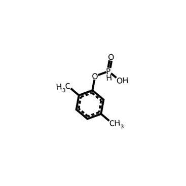 Cc1ccc(C)c(O[PH](=O)O)c1